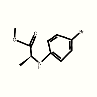 COC(=O)[C@H](C)Nc1ccc(Br)cc1